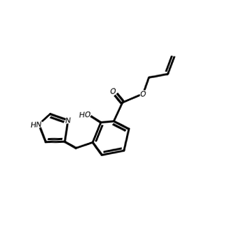 C=CCOC(=O)c1cccc(Cc2c[nH]cn2)c1O